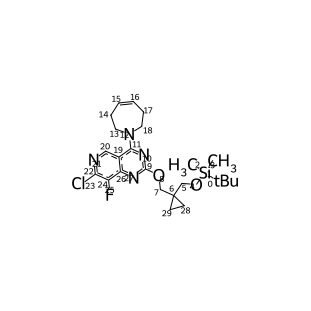 CC(C)(C)[Si](C)(C)OCC1(COc2nc(N3CCC=CCC3)c3cnc(Cl)c(F)c3n2)CC1